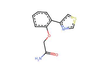 NC(=O)COc1ccccc1-c1cscn1